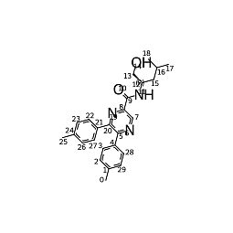 Cc1ccc(-c2ncc(C(=O)N[C@@H](CO)CC(C)C)nc2-c2ccc(C)cc2)cc1